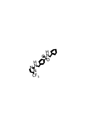 O=S(=O)(NCc1ccccc1)c1ccc(CNc2nccc(C(F)(F)F)n2)cc1